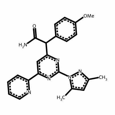 COc1ccc(C(C(N)=O)c2cc(-c3ccccn3)nc(-n3nc(C)cc3C)n2)cc1